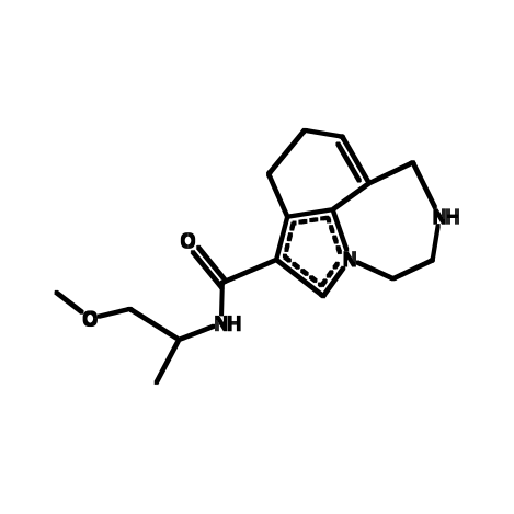 COCC(C)NC(=O)c1cn2c3c1CCC=C3CNCC2